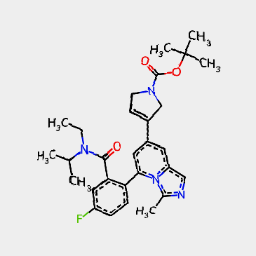 CCN(C(=O)c1cc(F)ccc1-c1cc(C2=CCN(C(=O)OC(C)(C)C)C2)cc2cnc(C)n12)C(C)C